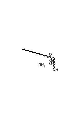 CCCCCCCCCCCCCCCC(=O)C(CC)OS(=O)(=O)OCCO.N